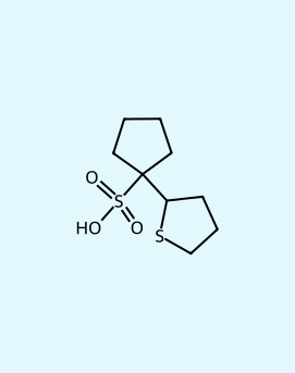 O=S(=O)(O)C1(C2CCCS2)CCCC1